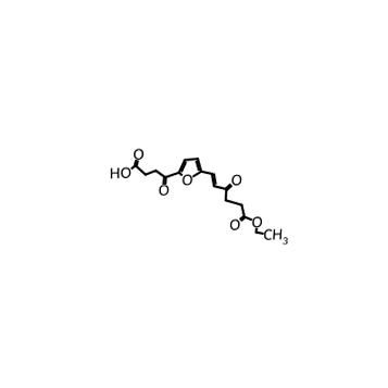 CCOC(=O)CCC(=O)/C=C/c1ccc(C(=O)CCC(=O)O)o1